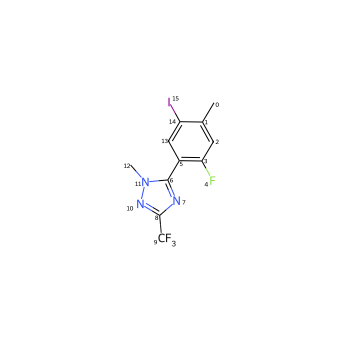 Cc1cc(F)c(-c2nc(C(F)(F)F)nn2C)cc1I